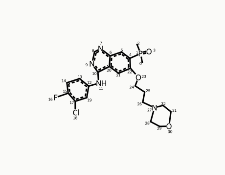 CP(C)(=O)c1cc2ncnc(Nc3ccc(F)c(Cl)c3)c2cc1OCCCN1CCOCC1